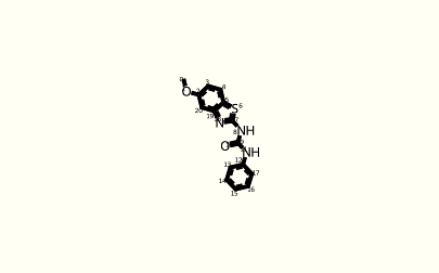 COc1ccc2sc(NC(=O)Nc3ccccc3)nc2c1